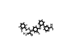 CNc1nccc(-c2cccnc2Oc2ccc(N(CCc3ccccc3C)C(N)=O)cc2C)n1